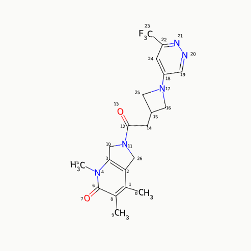 Cc1c2c(n(C)c(=O)c1C)CN(C(=O)CC1CN(c3cnnc(C(F)(F)F)c3)C1)C2